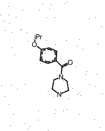 CC(C)Oc1ccc(C(=O)N2CC[N]CC2)cc1